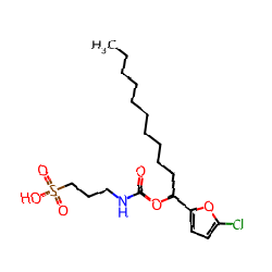 CCCCCCCCCCC(OC(=O)NCCCS(=O)(=O)O)c1ccc(Cl)o1